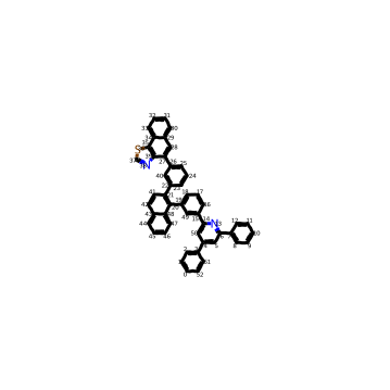 c1ccc(-c2cc(-c3ccccc3)nc(-c3cccc(-c4c(-c5cccc(-c6cc7ccccc7c7scnc67)c5)ccc5ccccc45)c3)c2)cc1